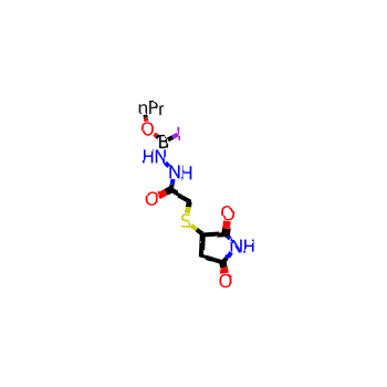 CCCOB(I)NNC(=O)CSC1CC(=O)NC1=O